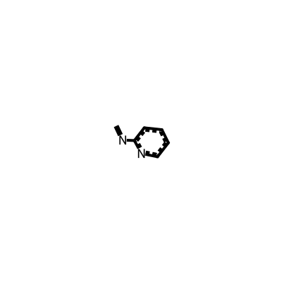 C=Nc1ccccn1